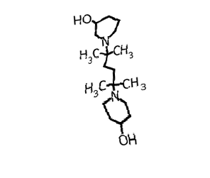 CC(C)(CCC(C)(C)N1CCCC(O)C1)N1CCC(O)CC1